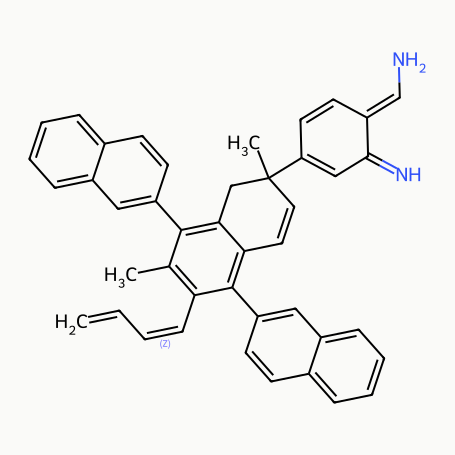 C=C/C=C\c1c(C)c(-c2ccc3ccccc3c2)c2c(c1-c1ccc3ccccc3c1)C=CC(C)(C1=CC(=N)C(=CN)C=C1)C2